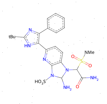 CNS(=O)(=O)C(C(N)=O)N1c2ccc(-c3[nH]c(C(C)(C)C)nc3-c3ccccc3)nc2N(S(=O)(=O)O)C1N